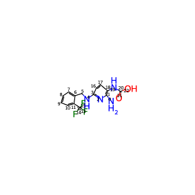 Nc1nc(NCc2ccccc2C(F)(F)F)ccc1NC(=O)O